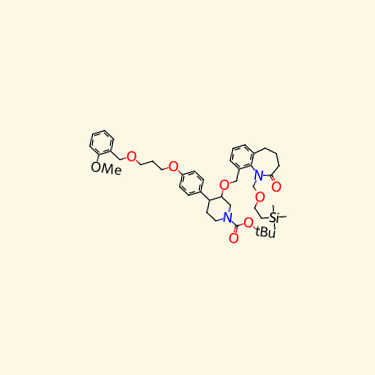 COc1ccccc1COCCCOc1ccc(C2CCN(C(=O)OC(C)(C)C)CC2OCc2cccc3c2N(COCC[Si](C)(C)C)C(=O)CCC3)cc1